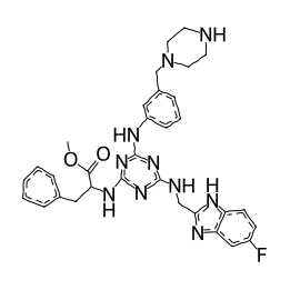 COC(=O)C(Cc1ccccc1)Nc1nc(NCc2nc3cc(F)ccc3[nH]2)nc(Nc2cccc(CN3CCNCC3)c2)n1